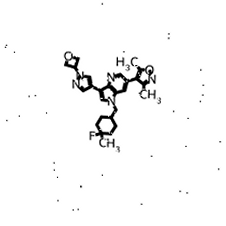 Cc1noc(C)c1-c1cnc2c(-c3cnn(C4COC4)c3)cn(CC3CCC(C)(F)CC3)c2c1